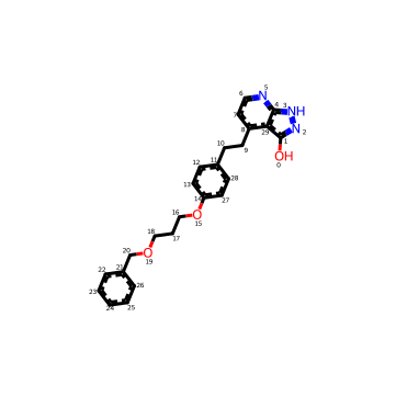 Oc1n[nH]c2nccc(CCc3ccc(OCCCOCc4ccccc4)cc3)c12